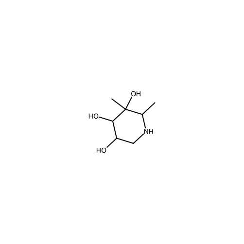 CC1NCC(O)C(O)C1(C)O